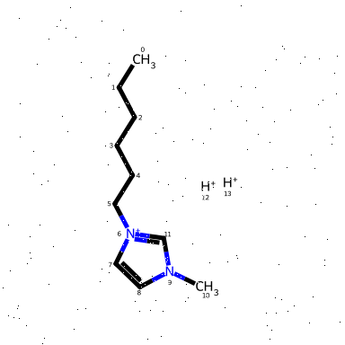 CCCCCC[n+]1ccn(C)c1.[H+].[H+]